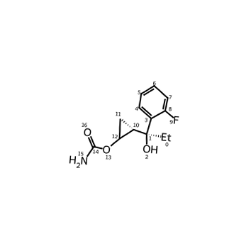 CC[C@@](O)(c1ccccc1F)[C@H]1CC1OC(N)=O